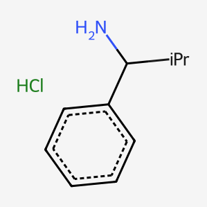 CC(C)C(N)c1ccccc1.Cl